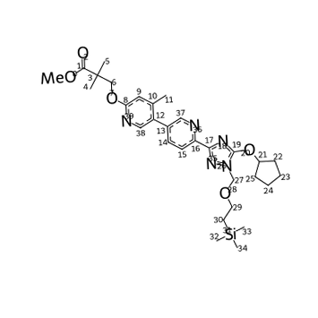 COC(=O)C(C)(C)COc1cc(C)c(-c2ccc(-c3nc(OC4CCCC4)n(COCC[Si](C)(C)C)n3)nc2)cn1